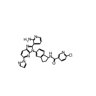 Nc1ncccc1-c1nc2ccc(-n3cccn3)nc2n1-c1ccc2c(c1)CC[C@@H]2NC(=O)c1ccc(Cl)nc1